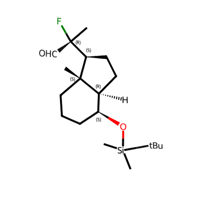 CC(C)(C)[Si](C)(C)O[C@H]1CCC[C@@]2(C)[C@H]1CC[C@@H]2[C@@](C)(F)C=O